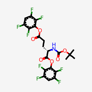 CC(C)(C)OC(=O)N[C@@H](CCC(=O)Oc1c(F)c(F)cc(F)c1F)C(=O)Oc1c(F)c(F)cc(F)c1F